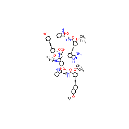 CC(C)Oc1ccc(C#Cc2ccc(O)cc2)cc1C(=O)N[C@@H](CO)Cc1c[nH]c2ccccc12.CC(C)Oc1ccc(C#Cc2cccc3[nH]nc(N)c23)cc1C(=O)N[C@@H](CO)Cc1c[nH]c2ccccc12.COc1ccc2cc(C#Cc3ccc(OC(C)C)c(C(=O)N[C@@H](CO)Cc4c[nH]c5ccccc45)c3)ccc2c1